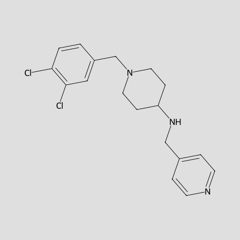 Clc1ccc(CN2CCC(NCc3ccncc3)CC2)cc1Cl